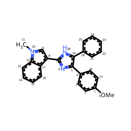 COc1ccc(-c2nc(-c3cn(C)c4ccccc34)[nH]c2-c2ccccc2)cc1